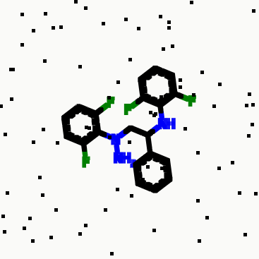 NN(CC(Nc1c(F)cccc1F)c1ccccc1)c1c(F)cccc1F